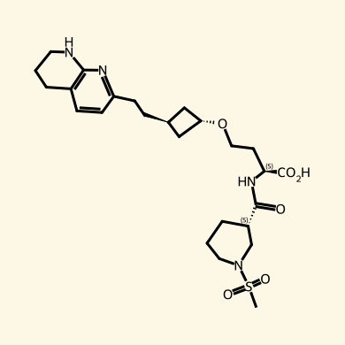 CS(=O)(=O)N1CCC[C@H](C(=O)N[C@@H](CCO[C@H]2C[C@H](CCc3ccc4c(n3)NCCC4)C2)C(=O)O)C1